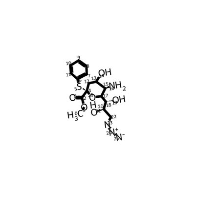 COC(=O)[C@@]1(Sc2ccccc2)CC(O)[C@@H](N)C([C@H](O)[C@H](O)CN=[N+]=[N-])O1